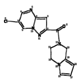 O=C(c1cc2ncc(Cl)cn2n1)N1CCn2cccc2C1